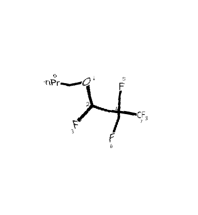 CC[CH]OC(F)C(F)(F)C(F)(F)F